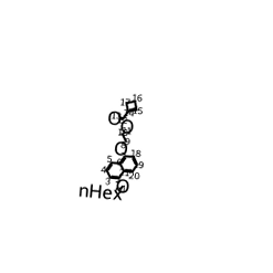 CCCCCCOc1cccc2c(OCCOC(=O)C3=CCC3)cccc12